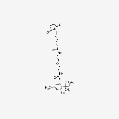 CC(=O)CC(C)(C)c1c(C)cc(C)cc1OC(=O)NCCOCCNC(=O)CCCCCN1C(=O)C=CC1=O